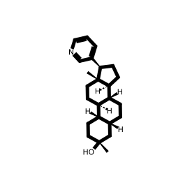 C[C@@]1(O)CC[C@H]2[C@H](CC[C@@H]3[C@@H]2CC[C@]2(C)[C@@H](c4cccnc4)CC[C@@H]32)C1